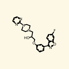 OC(COc1cccc(-c2noc3cc(F)ccc23)c1)CN1CCN(c2ncccn2)CC1